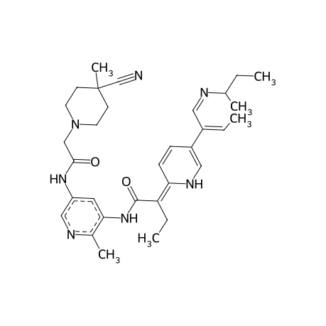 C/C=C(\C=N/C(C)CC)C1=CN/C(=C(\CC)C(=O)Nc2cc(NC(=O)CN3CCC(C)(C#N)CC3)cnc2C)C=C1